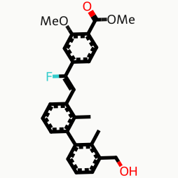 COC(=O)c1ccc(/C(F)=C/c2cccc(-c3cccc(CO)c3C)c2C)cc1OC